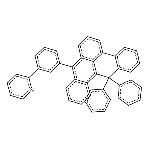 c1ccc(C2(c3ccccc3)c3ccccc3-c3cccc4c(-c5cccc(-c6ccccn6)c5)c5ccccc5c2c34)cc1